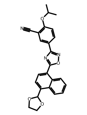 CC(C)Oc1ccc(-c2noc(-c3ccc(C4OCCO4)c4ccccc34)n2)cc1C#N